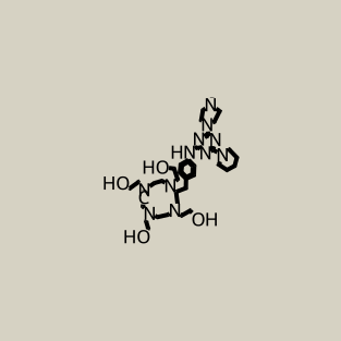 CN1CCN(c2nc(Nc3ccc(CC4CN(CCO)CCN(CCO)CCN(CCO)CCN4CCO)cc3)nc(N3CCCCC3)n2)CC1